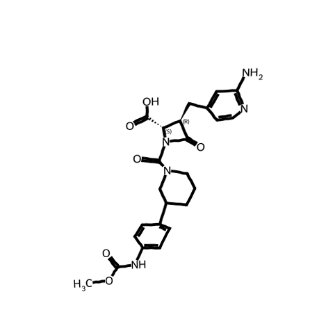 COC(=O)Nc1ccc(C2CCCN(C(=O)N3C(=O)[C@H](Cc4ccnc(N)c4)[C@H]3C(=O)O)C2)cc1